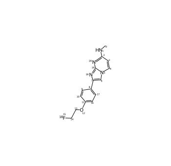 CNc1ccn2cc(-c3ccc(OCC[18F])cc3)nc2n1